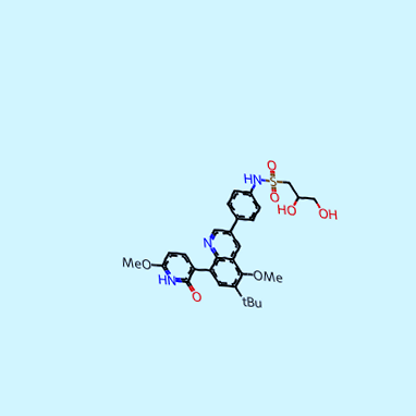 COc1ccc(-c2cc(C(C)(C)C)c(OC)c3cc(-c4ccc(NS(=O)(=O)CC(O)CO)cc4)cnc23)c(=O)[nH]1